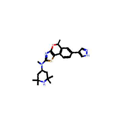 CC1Oc2nc(N(C)C3CC(C)(C)NC(C)(C)C3)sc2-c2ccc(-c3cn[nH]c3)cc21